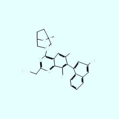 CCc1nc(N2CC3CC[C@H](C2)N3C)c2cc(Cl)c(-c3cc(O)cc4ccccc34)c(F)c2n1